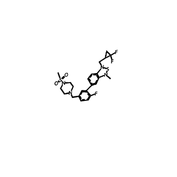 CN1SN(CC2CC2(F)F)c2ccc(-c3cc(CN4CCN(S(C)(=O)=O)CC4)ccc3F)cc21